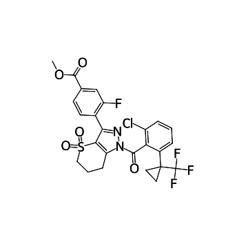 COC(=O)c1ccc(-c2nn(C(=O)c3c(Cl)cccc3C3(C(F)(F)F)CC3)c3c2S(=O)(=O)CCC3)c(F)c1